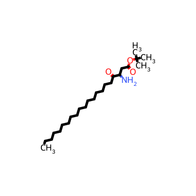 CCCCCCCCCCCCCCCCCC(=O)C(N)CC(=O)OC(C)(C)C